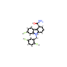 NC(=O)c1cccc2c1c1[c]cc(F)cc1n2Cc1cc(F)ccc1F